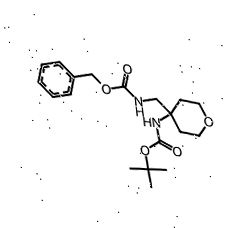 CC(C)(C)OC(=O)NC1(CNC(=O)OCc2ccccc2)CCOCC1